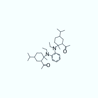 CCN(c1ccccc1N(CC)C1(C)CCC(C(C)C)CC1C(C)=O)C1(C)CCC(C(C)C)CC1C(C)=O